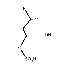 O=S(=O)(O)OCCC(F)F.[LiH]